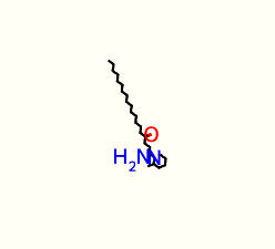 CCCCCCCCCCCCCCCC(=O)CCC(N)N1CCCCC1C